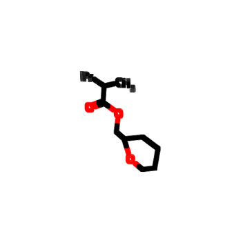 CC(C)C(C)C(=O)OCC1CCCCO1